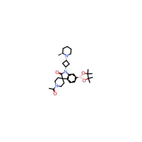 CC(=O)N1CCC2(CC1)C(=O)N([C@H]1C[C@@H](N3CCCC[C@@H]3C)C1)c1cc(B3OC(C)(C)C(C)(C)O3)ccc12